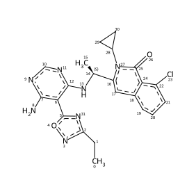 CCc1noc(-c2c(N)ncnc2N[C@@H](C)c2cc3cccc(Cl)c3c(=O)n2C2CC2)n1